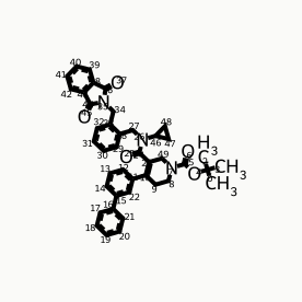 CC(C)(C)OC(=O)N1CCC(c2cccc(-c3ccccc3)c2)=C(C(=O)N(Cc2ccccc2CN2C(=O)c3ccccc3C2=O)C2CC2)C1